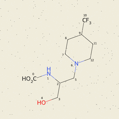 O=C(O)NC(CO)CN1CCC(C(F)(F)F)CC1